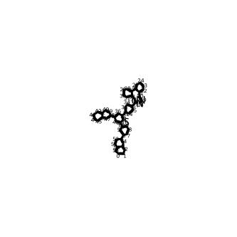 c1ccc2cc(-c3ccc4sc5c(-c6ccc(-c7nnc8c9ccccc9c9ccccc9n78)cc6)cc(-c6ccc7ccccc7c6)cc5c4c3)ccc2c1